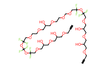 C#CCOCC(O)COCC(O)COCC(F)(F)OC(F)(F)COCOCCOCC(O)COCCOCC(F)(F)OC(F)(F)OC(F)(F)COCC(O)COCC(O)COCC#C